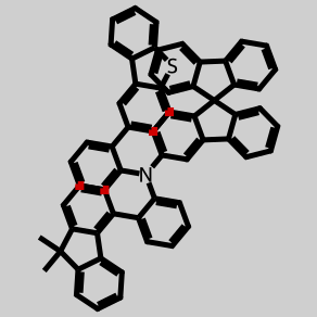 CC1(C)c2ccccc2-c2c(-c3ccccc3N(c3ccc4c(c3)-c3ccccc3C43c4ccccc4-c4ccccc43)c3ccccc3-c3ccc4sc5ccccc5c4c3)cccc21